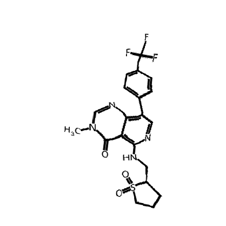 Cn1cnc2c(-c3ccc(C(F)(F)F)cc3)cnc(NC[C@H]3CCCS3(=O)=O)c2c1=O